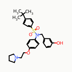 CC(C)(C)c1ccc(S(=O)(=O)N(Cc2cccc(O)c2)c2ccc(OCCN3CCCC3)cc2)cc1